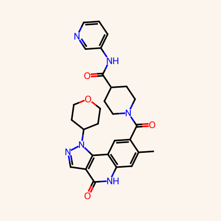 Cc1cc2[nH]c(=O)c3cnn(C4CCOCC4)c3c2cc1C(=O)N1CCC(C(=O)Nc2cccnc2)CC1